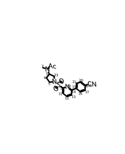 CC(=O)N(C)C1CCN(S(=O)(=O)c2cccc(-c3ccc(C#N)cc3)n2)C1